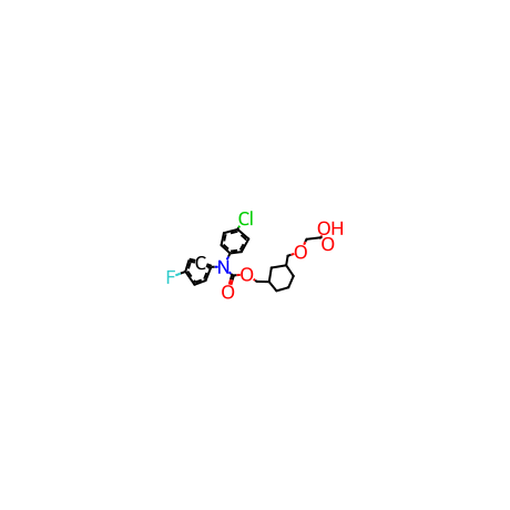 O=C(O)COCC1CCCC(COC(=O)N(c2ccc(F)cc2)c2ccc(Cl)cc2)C1